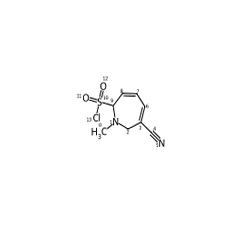 CN1CC(C#N)=CC=CC1S(=O)(=O)Cl